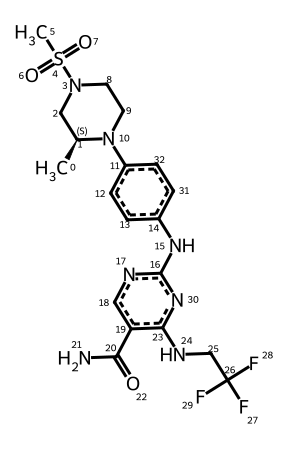 C[C@H]1CN(S(C)(=O)=O)CCN1c1ccc(Nc2ncc(C(N)=O)c(NCC(F)(F)F)n2)cc1